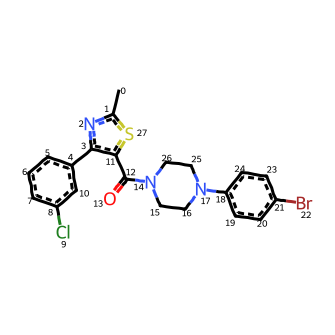 Cc1nc(-c2cccc(Cl)c2)c(C(=O)N2CCN(c3ccc(Br)cc3)CC2)s1